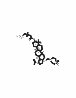 C=C(C)[C@@H]1CC[C@]2(CCN3CCS(=C)(=O)CC3)CC[C@]3(C)[C@H](CC[C@@H]4[C@@]5(C)CC[C@H](OC(=O)CC(C)(C)CC(=O)O)C(C)(C)[C@@H]5CC[C@]43C)[C@@H]12